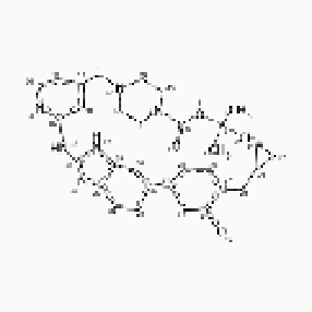 CC(C)(C)OC(=O)N1CCN(Cc2ccnc(Nc3nc4ccc(-c5ccn(CC6CC6)c(=O)c5)cc4[nH]3)c2)CC1